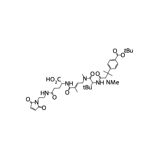 CN[C@H](C(=O)NC(C(=O)N(C)C/C=C(\C)C(=O)N[C@H](CCC(=O)NCCN1C(=O)C=CC1=O)C(=O)O)C(C)(C)C)C(C)(C)c1ccc(C(=O)OC(C)(C)C)cc1